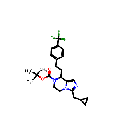 CC(C)(C)OC(=O)N1CCn2c(cnc2CC2CC2)C1CCc1ccc(C(F)(F)F)cc1